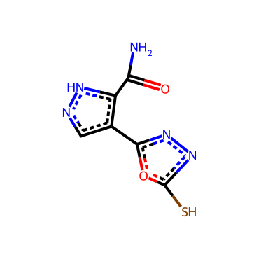 NC(=O)c1[nH]ncc1-c1nnc(S)o1